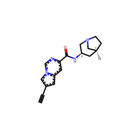 C#Cc1cc2cc(C(=O)N[C@@H]3C[C@@H]4CCN(C4)C3)ncn2c1